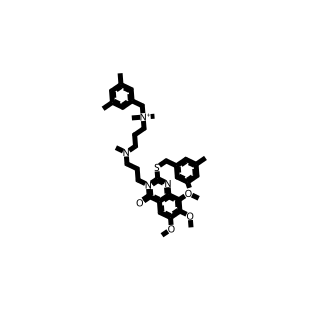 COc1cc2c(=O)n(CCCN(C)CCC[N+](C)(C)Cc3cc(C)cc(C)c3)c(SCc3cc(C)cc(C)c3)nc2c(OC)c1OC